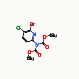 CC(C)(C)OC(=O)N(C(=O)OC(C)(C)C)c1ccc(Cl)c(Br)n1